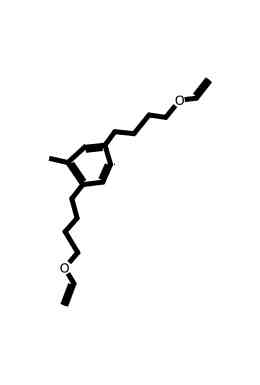 C=COCCCCc1[c]cc(CCCCOC=C)c(C)[c]1